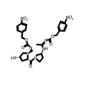 CC(=NC(=O)OCc1ccc([N+](=O)[O-])cc1)N[C@H]1CCN(C(=O)[C@@H]2C[C@H](S)CN2C=NC(=O)OCc2ccc([N+](=O)[O-])cc2)C1